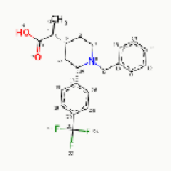 CC(C(=O)O)[C@@H]1CCN(Cc2ccccc2)[C@H](c2ccc(C(F)(F)F)cc2)C1